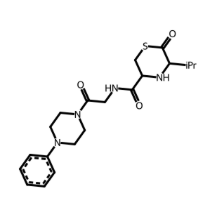 CC(C)C1NC(C(=O)NCC(=O)N2CCN(c3ccccc3)CC2)CSC1=O